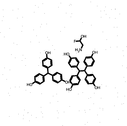 NCC(O)F.Oc1ccc(C(c2ccc(O)cc2)C(c2ccc(O)cc2)c2ccc(O)cc2)cc1.Oc1ccc(C(c2ccc(O)cc2)c2ccc(O)cc2)cc1